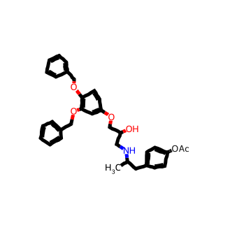 CC(=O)Oc1ccc(CC(C)NCC(O)COc2ccc(OCc3ccccc3)c(OCc3ccccc3)c2)cc1